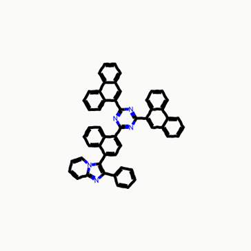 c1ccc(-c2nc3ccccn3c2-c2ccc(-c3nc(-c4cc5ccccc5c5ccccc45)nc(-c4cc5ccccc5c5ccccc45)n3)c3ccccc23)cc1